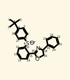 CC(C)(C)c1ccc([S@+]([O-])c2ccccc2C2=NC(c3ccccc3)CO2)cc1